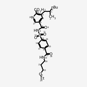 CCCCC(C)Cc1cc(C(=O)NS(=O)(=O)c2ccc(C(=O)NCCCOCC)cc2)cnc1C(=O)O